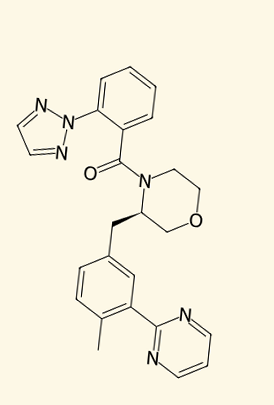 Cc1ccc(C[C@@H]2COCCN2C(=O)c2ccccc2-n2nccn2)cc1-c1ncccn1